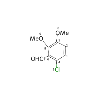 COc1ccc(Cl)c(C=O)c1OC